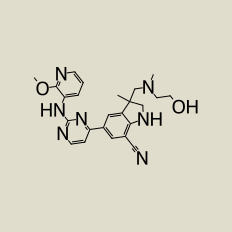 COc1ncccc1Nc1nccc(-c2cc(C#N)c3c(c2)C(C)(CN(C)CCO)CN3)n1